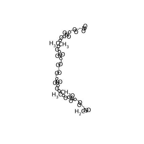 C=C1C=CC(=O)N1CCCCCC(=O)OCCc1ccc(N2C(=O)c3ccc(Oc4ccc(C(C)(C)c5ccc(Oc6ccc7c(c6)C(=O)N(c6ccc(CCOC(=O)CCCCC(=O)OCCc8ccc(N9C(=O)c%10ccc(Oc%11ccc(C(C)(C)c%12ccc(Oc%13ccc%14c(c%13)C(=O)N(c%13ccc(CCOC(=O)CCCCCN%15C(=O)C=CC%15=O)cc%13)C%14=O)cc%12)cc%11)cc%10C9=O)cc8)cc6)C7=O)cc5)cc4)cc3C2=O)cc1